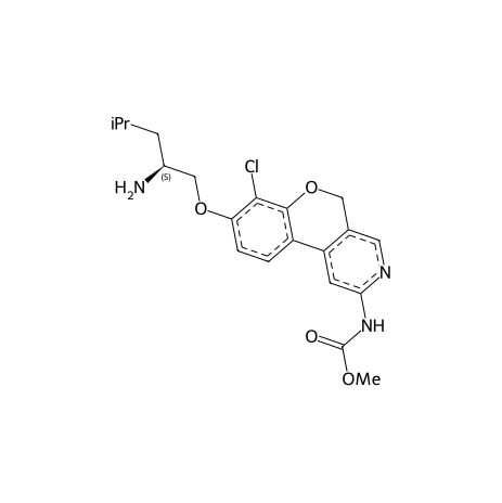 COC(=O)Nc1cc2c(cn1)COc1c-2ccc(OC[C@@H](N)CC(C)C)c1Cl